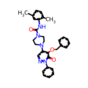 Cc1ccc(C)c(NC(=O)N2CCN(c3cnn(-c4ccccc4)c(=O)c3OCc3ccccc3)CC2)c1